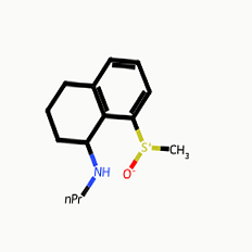 CCCNC1CCCc2cccc([S+](C)[O-])c21